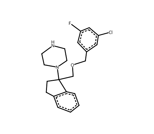 Fc1cc(Cl)cc(COCC2(N3CCNCC3)CCc3ccccc32)c1